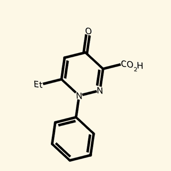 CCc1cc(=O)c(C(=O)O)nn1-c1ccccc1